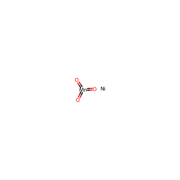 [Ni].[O]=[Mn](=[O])=[O]